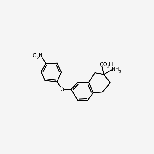 NC1(C(=O)O)CCc2ccc(Oc3ccc([N+](=O)[O-])cc3)cc2C1